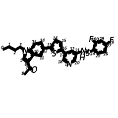 CCCCn1cc(C(C)=O)c2cc(-c3ccc(-c4cncc(NSc5ccc(F)cc5F)c4)s3)ccc21